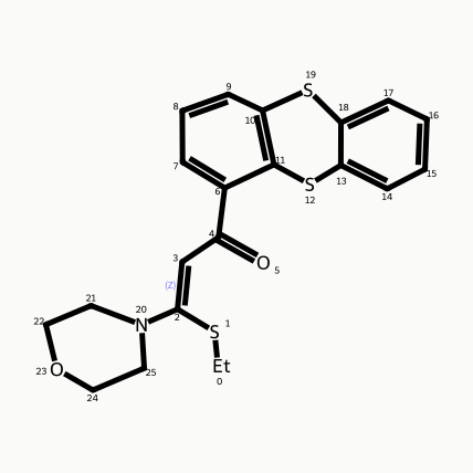 CCS/C(=C\C(=O)c1cccc2c1Sc1ccccc1S2)N1CCOCC1